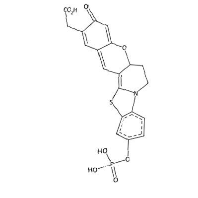 O=C(O)CC1=CC2=CC3=C4Sc5cc(OP(=O)(O)O)ccc5N4CCC3OC2=CC1=O